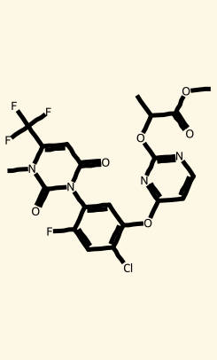 COC(=O)C(C)Oc1nccc(Oc2cc(-n3c(=O)cc(C(F)(F)F)n(C)c3=O)c(F)cc2Cl)n1